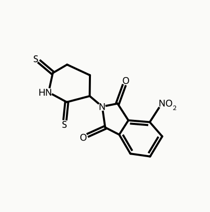 O=C1c2cccc([N+](=O)[O-])c2C(=O)N1C1CCC(=S)NC1=S